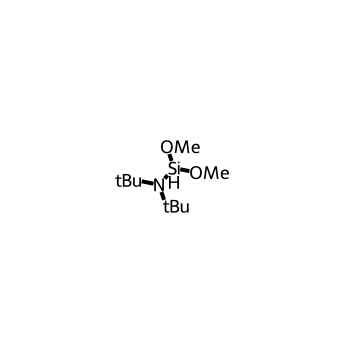 CO[SiH](OC)N(C(C)(C)C)C(C)(C)C